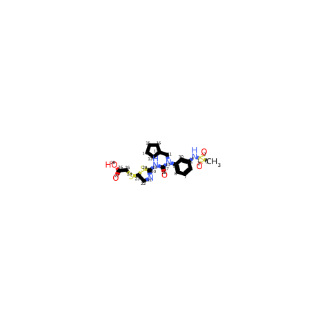 CS(=O)(=O)Nc1cccc(N(CC2CCCC2)C(=O)NC2=NCC(SCC(=O)O)S2)c1